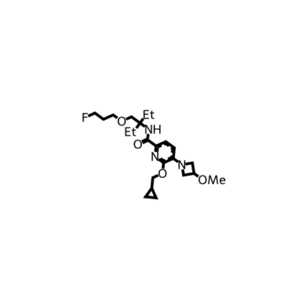 CCC(CC)(COCCCF)NC(=O)c1ccc(N2CC(OC)C2)c(OCC2CC2)n1